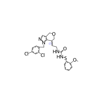 COc1ccccc1SNC(=O)NC/C=C1\COCc2cnn(Cc3ccc(Cl)cc3Cl)c21